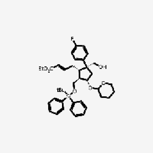 CCOC(=O)/C=C/C[C@H]1[C@H](CO[Si](c2ccccc2)(c2ccccc2)C(C)(C)C)[C@@H](OC2CCCCO2)C[C@]1(CO)c1ccc(F)cc1